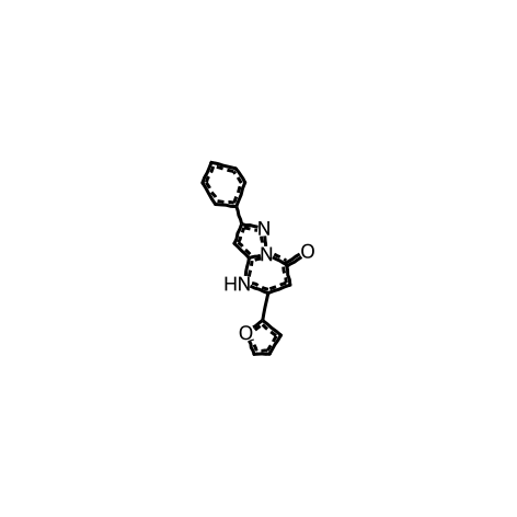 O=c1cc(-c2ccco2)[nH]c2cc(-c3ccccc3)nn12